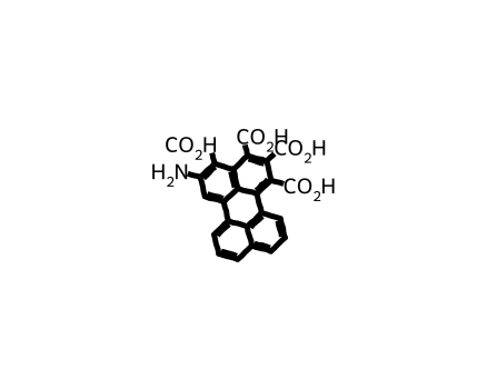 Nc1cc2c3cccc4cccc(c5c(C(=O)O)c(C(=O)O)c(C(=O)O)c(c1C(=O)O)c25)c43